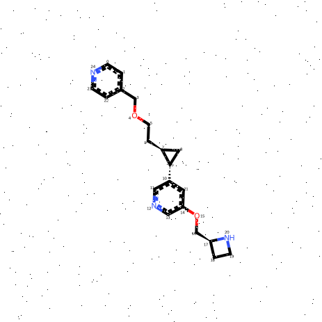 c1cc(COCC[C@H]2C[C@@H]2c2cncc(OC[C@@H]3CCN3)c2)ccn1